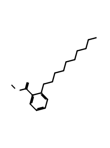 [CH2]CCCCCCCCCc1ccccc1C(=O)OC